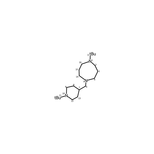 CC(C)(C)N1CCCN(CC2CCN(C(C)(C)C)CC2)CCC1